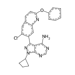 Nc1ncnc2c1c(-c1cc3nc(Oc4ccccc4)ccc3cc1Cl)nn2C1CCC1